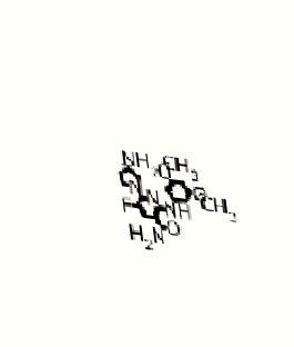 COc1cc(Nc2nc(N3CC[C@H](N)C3)c(F)cc2C(N)=O)cc(OC)c1